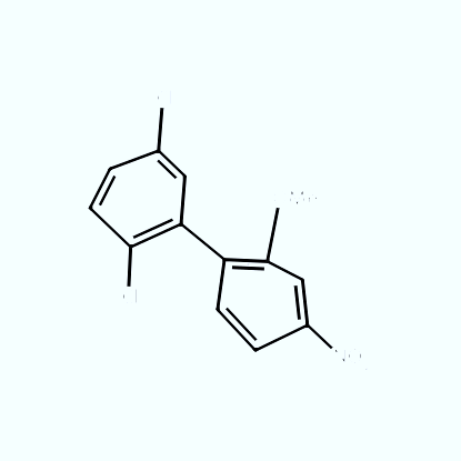 COc1cc([N+](=O)[O-])ccc1-c1cc(Cl)ccc1Cl